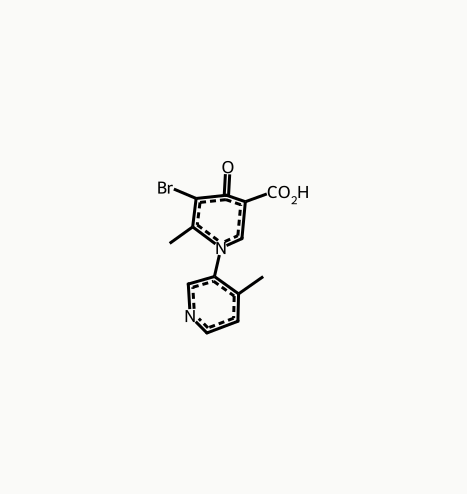 Cc1ccncc1-n1cc(C(=O)O)c(=O)c(Br)c1C